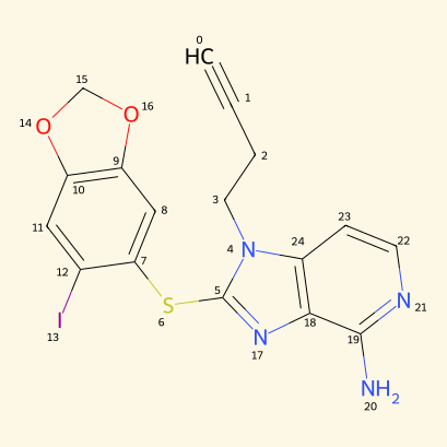 C#CCCn1c(Sc2cc3c(cc2I)OCO3)nc2c(N)nccc21